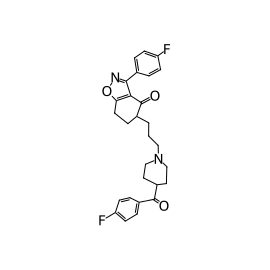 O=C(c1ccc(F)cc1)C1CCN(CCCC2CCc3onc(-c4ccc(F)cc4)c3C2=O)CC1